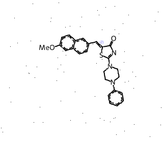 COc1ccc2cc(/C=C3\SC(N4CCN(c5ccccc5)CC4)=NC3=O)ccc2c1